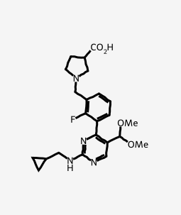 COC(OC)c1cnc(NCC2CC2)nc1-c1cccc(CN2CCC(C(=O)O)C2)c1F